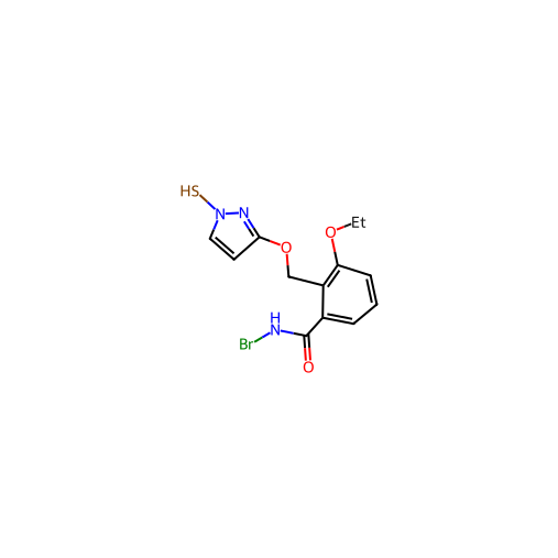 CCOc1cccc(C(=O)NBr)c1COc1ccn(S)n1